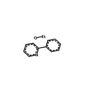 CC[O].c1ccc(-c2ccccn2)cc1